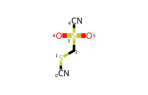 N#CSCS(=O)(=O)C#N